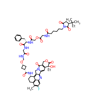 CCC(C)(C)C1CC(=O)N(CCCCCC(=O)NCC(=O)OCC(=O)N[C@@H](Cc2ccccc2)C(=O)NCC(=O)NCO[C@H]2C[C@@H](C(=O)N[C@H]3CCc4c(C)c(F)cc5nc6c(c3c45)Cn3c-6cc4c(c3=O)COC(=O)[C@]4(O)CC)C2)C1=O